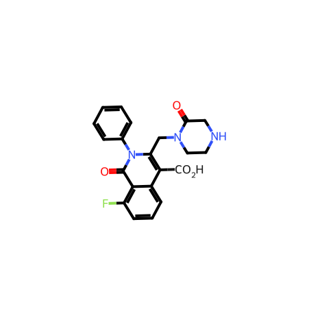 O=C(O)c1c(CN2CCNCC2=O)n(-c2ccccc2)c(=O)c2c(F)cccc12